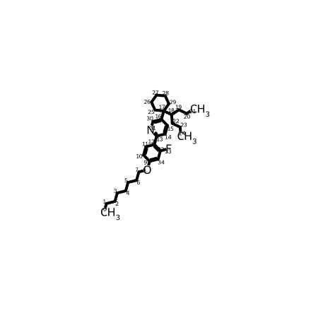 CCCCCCCCOc1ccc(-c2ccc(C3(C(CCC)CCC)CCCCC3)cn2)c(F)c1